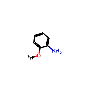 [3H]Oc1ccccc1N